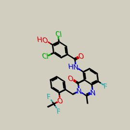 Cc1nc2c(F)ccc(NC(=O)c3cc(Cl)c(O)c(Cl)c3)c2c(=O)n1Cc1ccccc1OC(C)(F)F